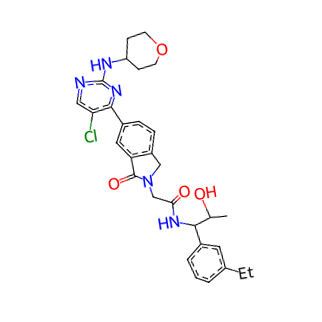 CCc1cccc(C(NC(=O)CN2Cc3ccc(-c4nc(NC5CCOCC5)ncc4Cl)cc3C2=O)C(C)O)c1